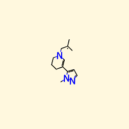 C[C](C)CN1C=C(c2ccnn2C)CCC1